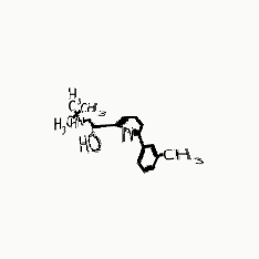 Cc1cccc(-c2cccc([C@H](O)CNC(C)(C)C)n2)c1